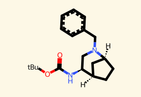 CC(C)(C)OC(=O)N[C@H]1CN(Cc2ccccc2)[C@H]2CC[C@@H]1C2